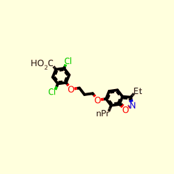 CCCc1c(OCCCOc2cc(Cl)c(C(=O)O)cc2Cl)ccc2c(CC)noc12